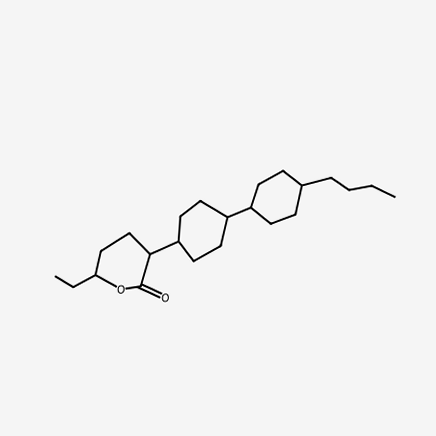 CCCCC1CCC(C2CCC(C3CCC(CC)OC3=O)CC2)CC1